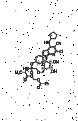 CC(C)C(=O)OCOC(=O)C(C)NP(=O)(COC[C@H]1O[C@@H](n2ccc3c(NC4CCCC4)c(C#N)c(Cl)nc32)[C@H](O)[C@@H]1O)Oc1ccccc1